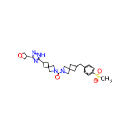 CS(=O)(=O)c1ccc(CC2CC3(C2)CN(C(=O)N2CC4(CC(c5nc(C6COC6)n[nH]5)C4)C2)C3)cc1